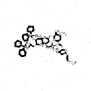 C=C1C[C@H](C=CC(=O)O)O[C@H]1CC[C@H]1C[C@@H](C)C(=C)[C@@H](C[C@@H]2O[C@H]3C[C@@H](O[Si](c4ccccc4)(c4ccccc4)C(C)(C)C)[C@@H](CCO[Si](c4ccccc4)(c4ccccc4)C(C)(C)C)O[C@H]3[C@H](C)[C@H]2O[Si](CC)(CC)CC)O1